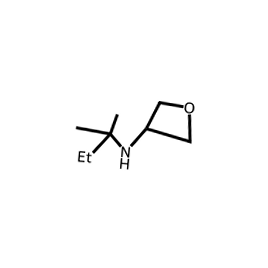 CCC(C)(C)NC1COC1